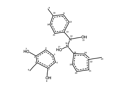 Cc1c(O)cccc1O.Cc1ccc(N(O)N(O)c2cccc(C)c2)cc1